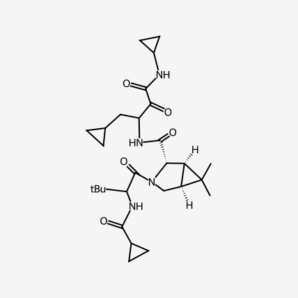 CC(C)(C)C(NC(=O)C1CC1)C(=O)N1C[C@H]2[C@@H]([C@H]1C(=O)NC(CC1CC1)C(=O)C(=O)NC1CC1)C2(C)C